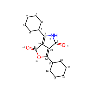 O=C1NC(C2CCCCC2)=C2C(=O)OC(C3CCCCC3)=C12